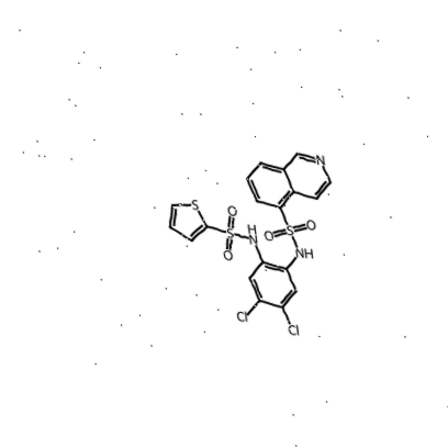 O=S(=O)(Nc1cc(Cl)c(Cl)cc1NS(=O)(=O)c1cccc2cnccc12)c1cccs1